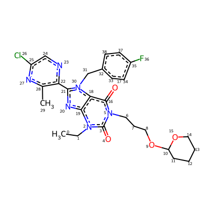 CCn1c(=O)n(CCCOC2CCCCO2)c(=O)c2c1nc(-c1ncc(Cl)nc1C)n2Cc1ccc(F)cc1